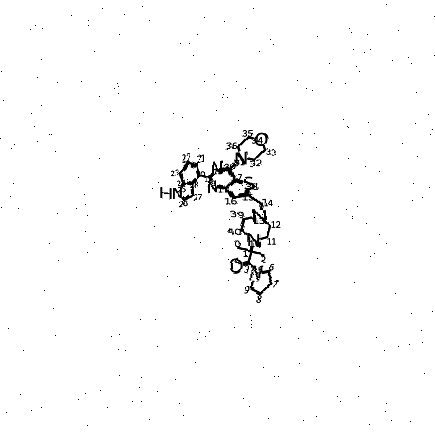 CC(C)(C(=O)N1CCCC1)N1CCN(Cc2cc3nc(-c4cccc5[nH]ccc45)nc(N4CCOCC4)c3s2)CC1